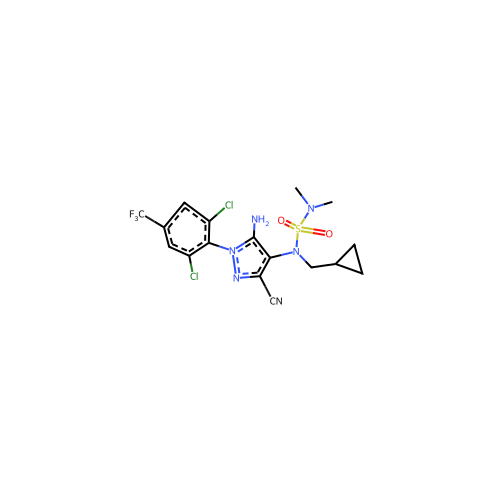 CN(C)S(=O)(=O)N(CC1CC1)c1c(C#N)nn(-c2c(Cl)cc(C(F)(F)F)cc2Cl)c1N